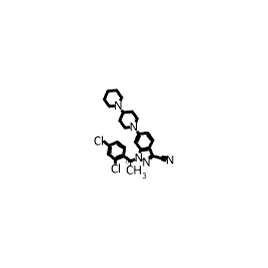 C[C@H](c1ccc(Cl)cc1Cl)n1nc(C#N)c2ccc(N3CCC(N4CCCCC4)CC3)cc21